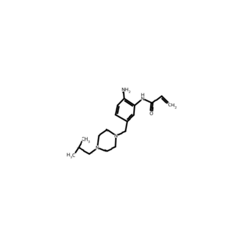 C=CC(=O)Nc1cc(CN2CCN(C[C](C)C)CC2)ccc1N